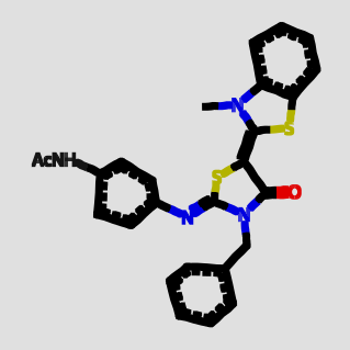 CC(=O)Nc1ccc(N=C2SC(=C3Sc4ccccc4N3C)C(=O)N2Cc2ccccc2)cc1